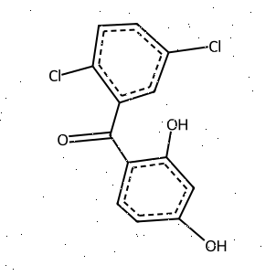 O=C(c1ccc(O)cc1O)c1cc(Cl)ccc1Cl